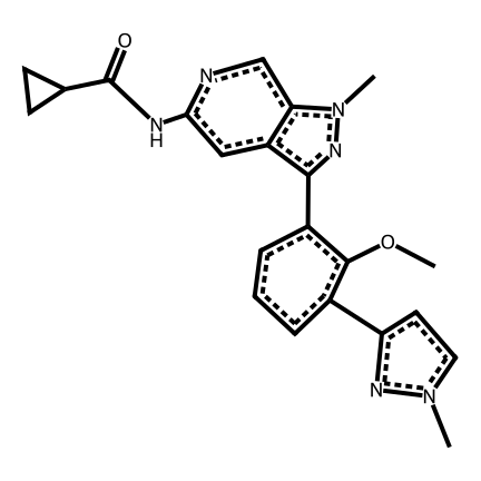 COc1c(-c2ccn(C)n2)cccc1-c1nn(C)c2cnc(NC(=O)C3CC3)cc12